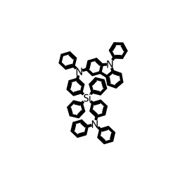 C1=CC(N(C2=CC=C3C(C2)c2ccccc2N3c2ccccc2)c2cccc([Si](c3ccccc3)(c3ccccc3)c3cccc(N(c4ccccc4)c4ccccc4)c3)c2)=CCC1